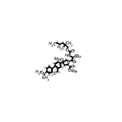 C=CCCC(C)(C)COC(=O)N[C@H](C(=O)N1C[C@](OC)(c2ccc(-c3ccc(N(C)C)cc3)c(C=C)c2)C[C@H]1C(=O)OC)C(C)(C)C